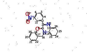 O=c1c(-c2cccc([N+](=O)[O-])c2)nc2c(n1Cc1ccccc1)=CCCC=2